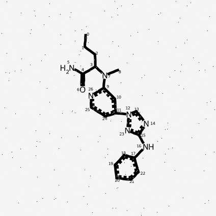 CCCC(C(N)=O)N(C)c1cc(-n2cnc(Nc3ccccc3)n2)ccn1